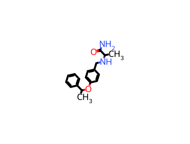 CC(NCc1ccc(OC(C)c2ccccc2)cc1)C(N)=O